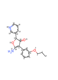 CCCOc1cccc(C2=C(N)OC(c3cccnc3)C2=O)c1